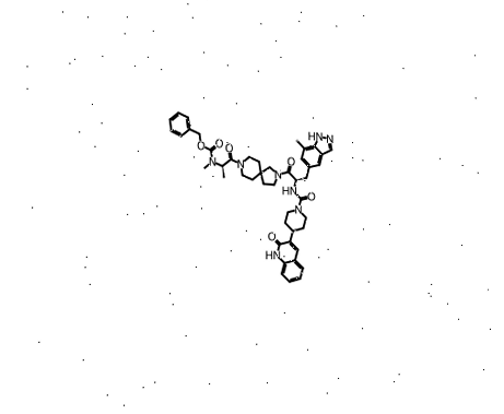 Cc1cc(C[C@@H](NC(=O)N2CCC(c3cc4ccccc4[nH]c3=O)CC2)C(=O)N2CCC3(CCN(C(=O)[C@@H](C)N(C)C(=O)OCc4ccccc4)CC3)C2)cc2cn[nH]c12